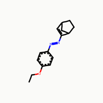 CCOc1ccc(N=NC2=CC3CCC2C3)cc1